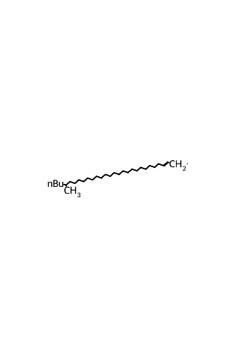 [CH2]C=CCCCCCCCCCCCCCCCCCCCCCC(C)CCC[CH2]